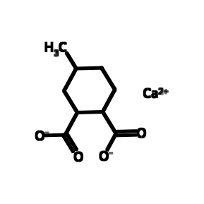 CC1CCC(C(=O)[O-])C(C(=O)[O-])C1.[Ca+2]